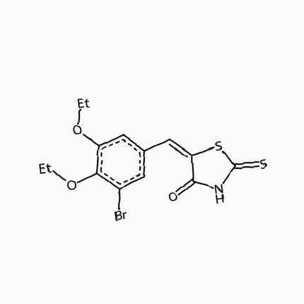 CCOc1cc(C=C2SC(=S)NC2=O)cc(Br)c1OCC